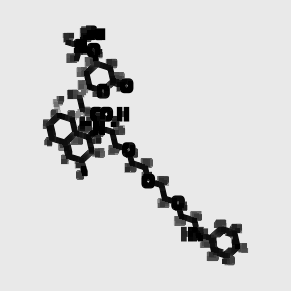 C[C@H]1C=C2C=C[C@H](C)[C@H](CC[C@@H]3C[C@@H](O[Si](C)(C)C(C)(C)C)CC(=O)O3)[C@H]2[C@@H](N(CCOCCOCCOCCNc2ccccc2)C(=O)O)C1